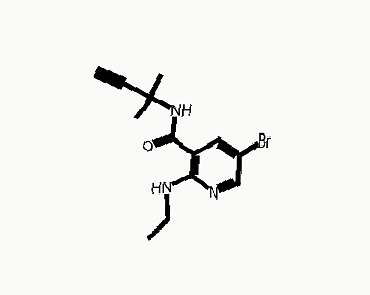 C#CC(C)(C)NC(=O)c1cc(Br)cnc1NCC